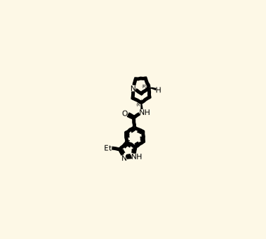 CCc1n[nH]c2ccc(C(=O)N[C@@H]3C[C@H]4CCN(C4)C3)cc12